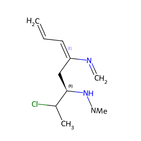 C=C/C=C(\C[C@@H](NNC)C(C)Cl)N=C